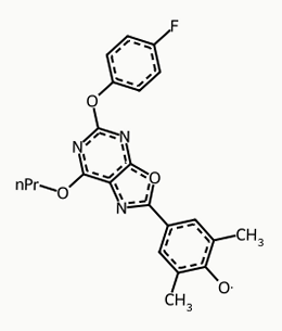 CCCOc1nc(Oc2ccc(F)cc2)nc2oc(-c3cc(C)c([O])c(C)c3)nc12